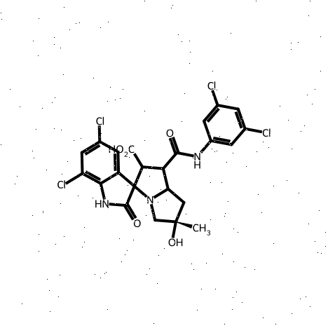 C[C@]1(O)CC2C(C(=O)Nc3cc(Cl)cc(Cl)c3)C(C(=O)O)C3(C(=O)Nc4c(Cl)cc(Cl)cc43)N2C1